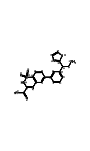 CCCC(=O)C1=Nc2cc(-c3cccc(C(CN)c4ncco4)c3)ccc2S(=O)(=O)N1